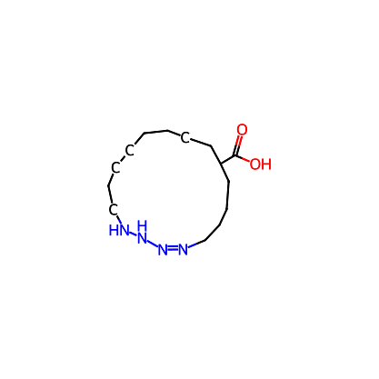 O=C(O)C1CCCCCCCCNNN=NCCCC1